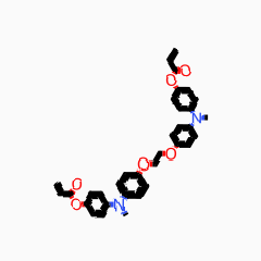 C=CC(=O)Oc1ccc(N(C)c2ccc(OCCOc3ccc(N(C)c4ccc(OC(=O)C=C)cc4)cc3)cc2)cc1